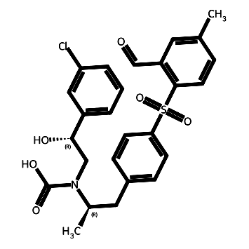 Cc1ccc(S(=O)(=O)c2ccc(C[C@@H](C)N(C[C@H](O)c3cccc(Cl)c3)C(=O)O)cc2)c(C=O)c1